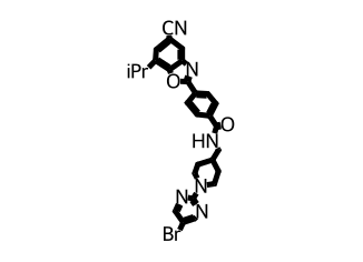 CC(C)c1cc(C#N)cc2nc(-c3ccc(C(=O)NCC4CCN(c5ncc(Br)cn5)CC4)cc3)oc12